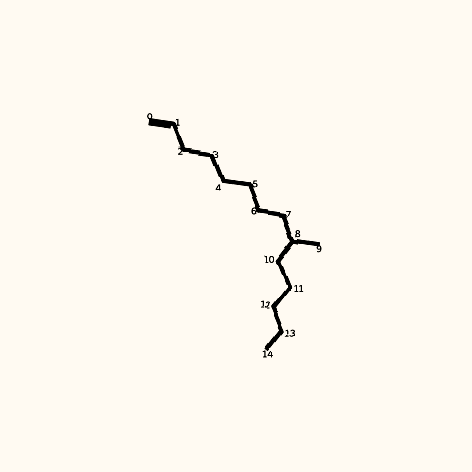 C=CCCCCCCC(C)CCCCC